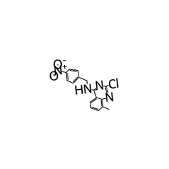 Cc1cccc2c(NCc3ccc([N+](=O)[O-])cc3)nc(Cl)nc12